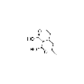 CCCC(CC)C(C(=O)O)C(=O)O